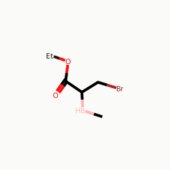 CBC(CBr)C(=O)OCC